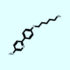 CCCCc1ccc(-c2ccc(OCCCCCC(C)CC)cc2)nc1